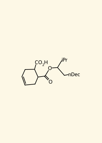 CCCCCCCCCCCC(OC(=O)C1CC=CCC1C(=O)O)C(C)C